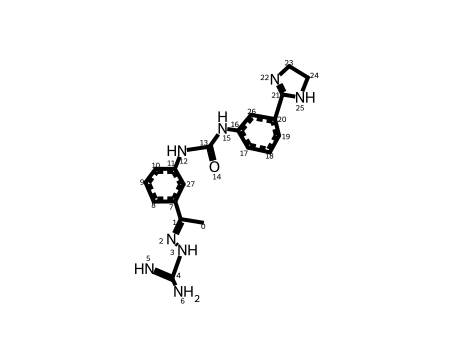 C/C(=N\NC(=N)N)c1cccc(NC(=O)Nc2cccc(C3=NCCN3)c2)c1